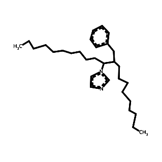 CCCCCCCCCCC(C(CCCCCCCCC)Cc1ccccc1)n1ccnc1